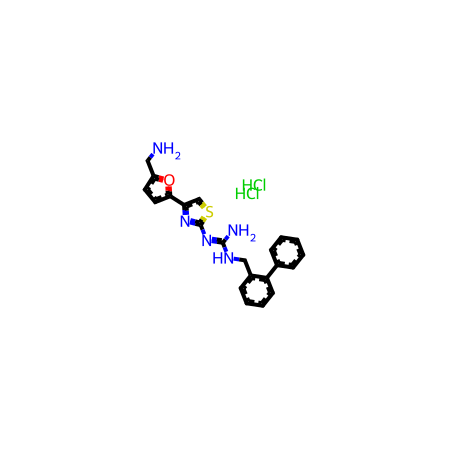 Cl.Cl.NCc1ccc(-c2csc(/N=C(\N)NCc3ccccc3-c3ccccc3)n2)o1